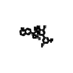 C[C@@H](c1ccc2ncccc2c1)c1nnc2c(F)cc(-c3cc(F)cc(F)c3)cn12